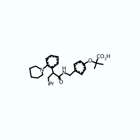 CC(C)CC(C(=O)NCc1ccc(OC(C)(C)C(=O)O)cc1)c1ccccc1N1CCCCC1